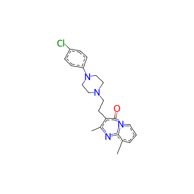 Cc1nc2c(C)cccn2c(=O)c1CCN1CCN(c2ccc(Cl)cc2)CC1